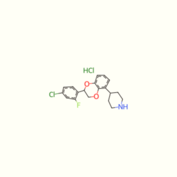 Cl.Fc1cc(Cl)ccc1C1COc2c(cccc2C2CCNCC2)O1